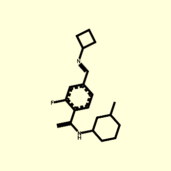 C=C(NC1CCCC(C)C1)c1ccc(/C=N/C2CCC2)cc1F